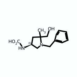 CC1(CO)C[C@H](NC(=O)O)CN1Cc1ccccc1